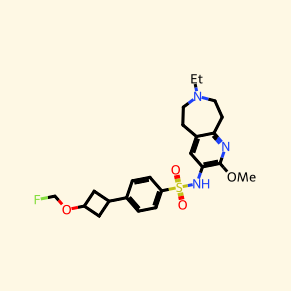 CCN1CCc2cc(NS(=O)(=O)c3ccc(C4CC(OCF)C4)cc3)c(OC)nc2CC1